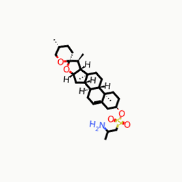 CC(N)CS(=O)(=O)O[C@H]1CC[C@@]2(C)C(=CC[C@H]3[C@@H]4C[C@@H]5O[C@]6(CC[C@@H](C)CO6)[C@@H](C)[C@@H]5[C@@]4(C)CC[C@@H]32)C1